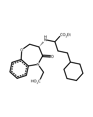 CCOC(=O)C(CCC1CCCCC1)N[C@H]1COc2ccccc2N(CC(=O)O)C1=O